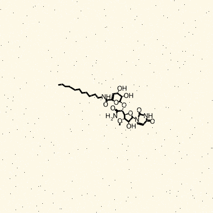 CCCCCCCCCCCNC(=O)C1=C[C@H](O)[C@H](O)[C@@H](O[C@@H](C(N)=O)[C@H]2O[C@@H](n3ccc(=O)[nH]c3=O)[C@H](O)[C@@H]2OC)O1